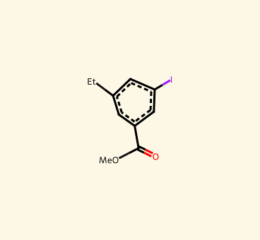 CCc1cc(I)cc(C(=O)OC)c1